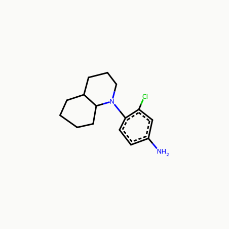 Nc1ccc(N2CCCC3CCCCC32)c(Cl)c1